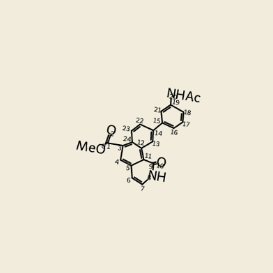 COC(=O)c1cc2cc[nH]c(=O)c2c2cc(-c3cccc(NC(C)=O)c3)ccc12